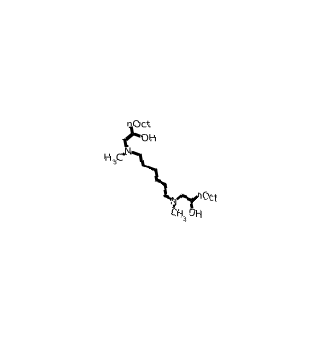 CCCCCCCCC(O)CN(C)CCCCCCN(C)CC(O)CCCCCCCC